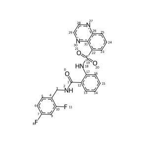 O=C(NCc1ccc(F)cc1F)c1ccccc1NS(=O)(=O)c1cccc2nccnc12